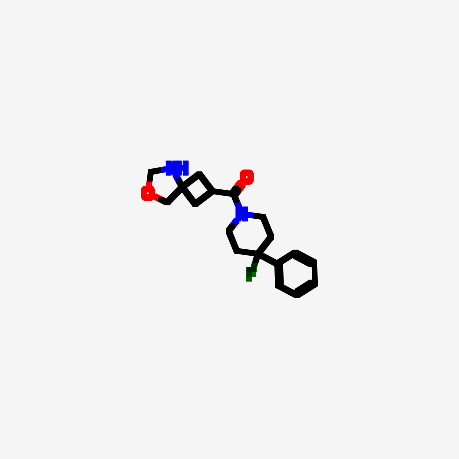 O=C(C1CC2(COCN2)C1)N1CCC(F)(c2ccccc2)CC1